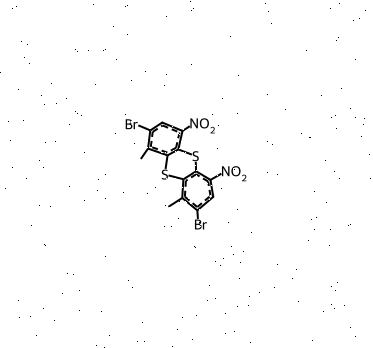 Cc1c(Br)cc([N+](=O)[O-])c2c1Sc1c(C)c(Br)cc([N+](=O)[O-])c1S2